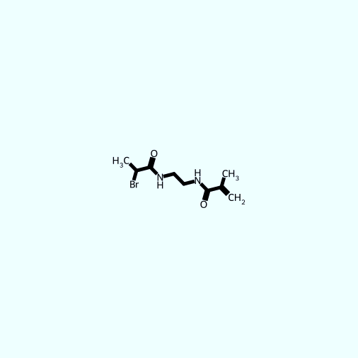 C=C(C)C(=O)NCCNC(=O)C(C)Br